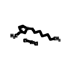 CCCCCCCN1C=CN(C)C1.[Cl][Zn][Cl]